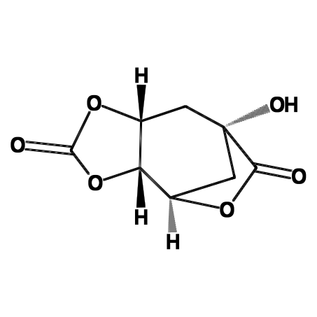 O=C1O[C@@H]2[C@@H](C[C@]3(O)C[C@H]2OC3=O)O1